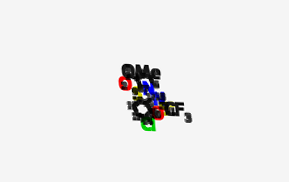 COC(=O)c1cccnc1Sc1ccc(Cl)cc1/C=N\[S+]([O-])C(F)(F)F